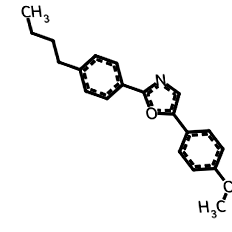 CCCCc1ccc(-c2ncc(-c3ccc(OC)cc3)o2)cc1